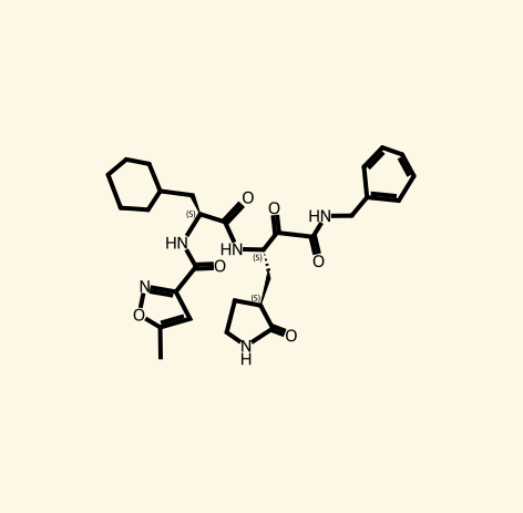 Cc1cc(C(=O)N[C@@H](CC2CCCCC2)C(=O)N[C@@H](C[C@@H]2CCNC2=O)C(=O)C(=O)NCc2ccccc2)no1